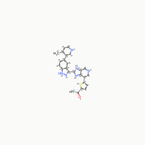 CCCC(=O)c1ccc(-c2cncc3[nH]c(-c4n[nH]c5ccc(-c6cnccc6C)cc45)nc23)s1